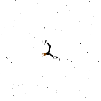 BCC(C)=S